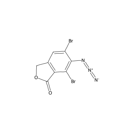 [N-]=[N+]=Nc1c(Br)cc2c(c1Br)C(=O)OC2